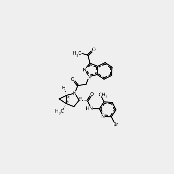 CC(=O)c1nn(CC(=O)N2[C@H](C(=O)Nc3nc(Br)ccc3C)C[C@@]3(C)C[C@@H]23)c2ccccc12